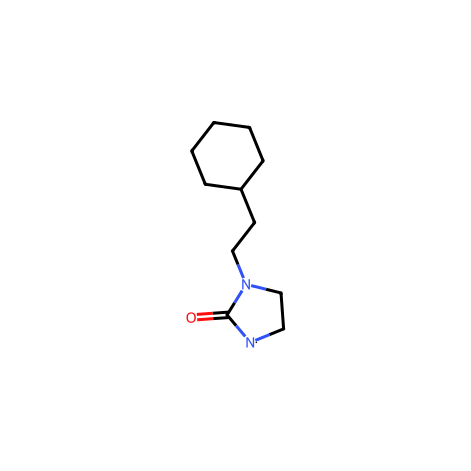 O=C1[N]CCN1CCC1CCCCC1